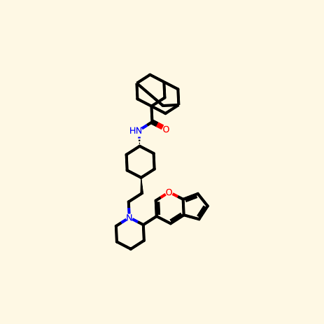 O=C(N[C@H]1CC[C@H](CCN2CCCCC2c2coc3cccc-3c2)CC1)C12CC3CC(CC(C3)C1)C2